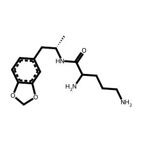 C[C@@H](Cc1ccc2c(c1)OCO2)NC(=O)C(N)CCCN